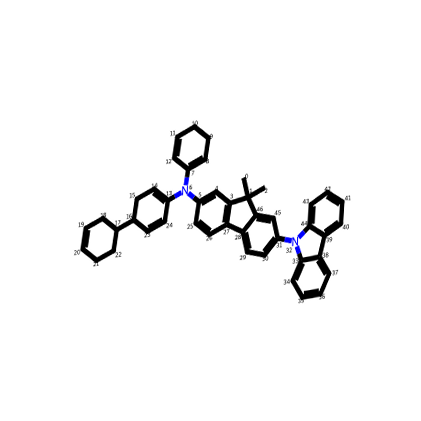 CC1(C)c2cc(N(C3=CCCC=C3)C3=CCC(C4CC=CCC4)C=C3)ccc2-c2ccc(-n3c4ccccc4c4ccccc43)cc21